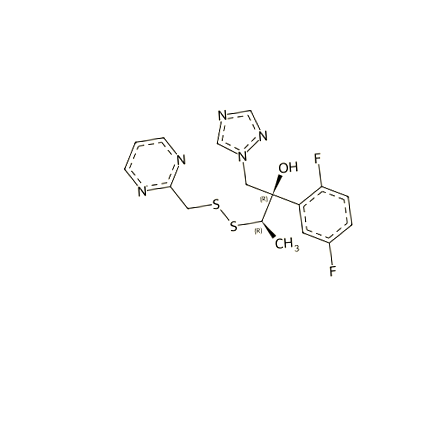 C[C@@H](SSCc1ncccn1)[C@](O)(Cn1cncn1)c1cc(F)ccc1F